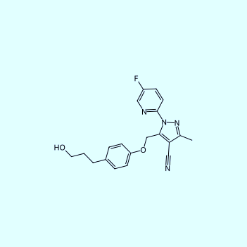 Cc1nn(-c2ccc(F)cn2)c(COc2ccc(CCCO)cc2)c1C#N